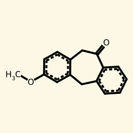 COc1ccc2c(c1)Cc1ccccc1C(=O)C2